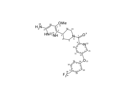 COC1=C(C2CCN(C(=O)c3ccc(Oc4ccc(C(F)(F)F)cc4)cn3)CC2)NNC(N)=C1